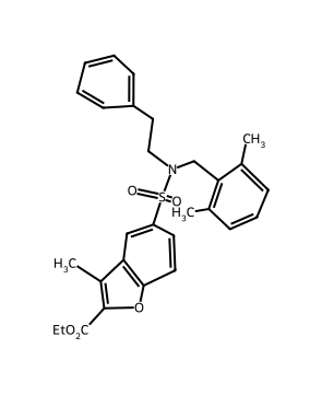 CCOC(=O)c1oc2ccc(S(=O)(=O)N(CCc3ccccc3)Cc3c(C)cccc3C)cc2c1C